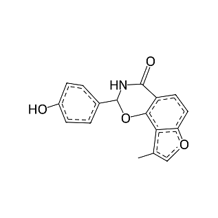 Cc1coc2ccc3c(c12)OC(c1ccc(O)cc1)NC3=O